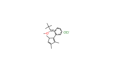 C[O][Ti+2]([c]1ccccc1C1=C(C)C(C)=CC1C)[C](C)(C)C.[Cl-].[Cl-]